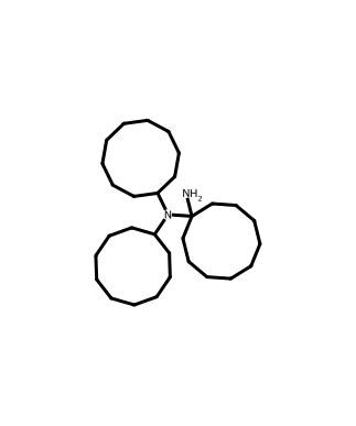 NC1(N(C2CCCCCCCCC2)C2CCCCCCCCC2)CCCCCCCCC1